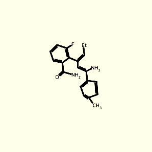 CC/C=C(/C=C(\N)c1ccc(C)cc1)c1c(F)cccc1C(N)=O